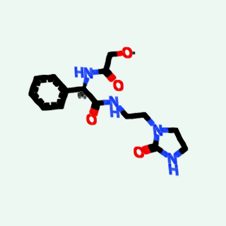 [O]CC(=O)N[C@@H](C(=O)NCCN1CCNC1=O)c1ccccc1